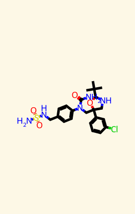 CC(C)(C)C1NCC(CN(C(N)=O)c2ccc(CNS(N)(=O)=O)cc2)(c2cccc(Cl)c2)O1